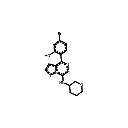 Oc1cc(Br)ccc1-c1nnc(NC2CCCOC2)n2nccc12